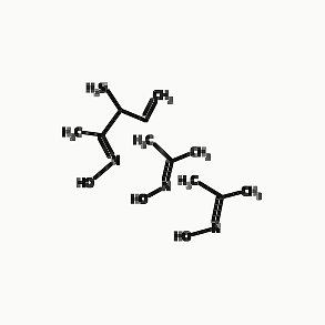 C=CC([SiH3])C(C)=NO.CC(C)=NO.CC(C)=NO